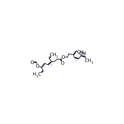 C=C/C(=C\C=C(/C=C)OC=O)CCC(=O)OCCC(/C=C\C(O)=C/C)=C/C